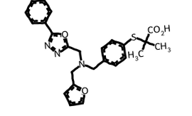 CC(C)(Sc1ccc(CN(Cc2ccco2)Cc2nnc(-c3ccccc3)o2)cc1)C(=O)O